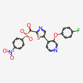 O=C(c1ncc(-c2ccncc2Oc2ccc(F)cc2)s1)S(=O)(=O)c1ccc([N+](=O)[O-])cc1